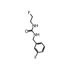 O=C(NCCF)NCc1cccc(F)c1